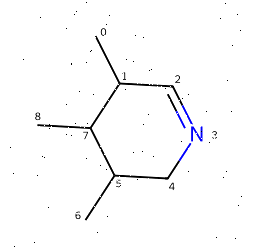 CC1C=NCC(C)C1C